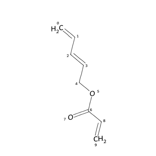 C=CC=CCOC(=O)C=C